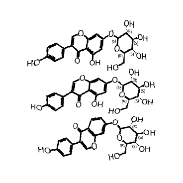 O=c1c(-c2ccc(O)cc2)coc2cc(OC3O[C@H](CO)[C@@H](O)[C@H](O)[C@H]3O)ccc12.O=c1c(-c2ccc(O)cc2)coc2cc(O[C@@H]3O[C@H](CO)[C@@H](O)[C@H](O)[C@H]3O)cc(O)c12.O=c1c(-c2ccc(O)cc2)coc2cc(O[C@@H]3O[C@H](CO)[C@@H](O)[C@H](O)[C@H]3O)cc(O)c12